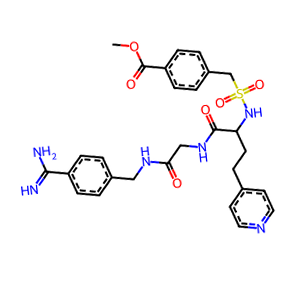 COC(=O)c1ccc(CS(=O)(=O)NC(CCc2ccncc2)C(=O)NCC(=O)NCc2ccc(C(=N)N)cc2)cc1